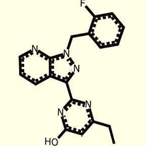 CCc1[c]c(O)nc(-c2nn(Cc3ccccc3F)c3ncccc23)n1